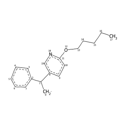 [CH2]C(c1ccccc1)c1ccc(OCCCCC)nc1